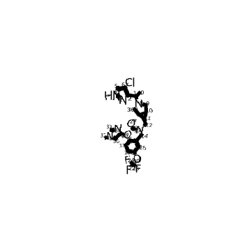 CC(c1n[nH]cc1Cl)N1CC2C(CN(Cc3cccc(OC(F)(F)F)c3)C(=O)Oc3cn(C)cn3)C2C1